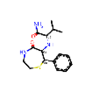 CC(C)[C@H](N[C@@H]1C(=O)NCCS[C@@H]1c1ccccc1)C(N)=O